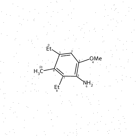 CCc1cc(OC)c(N)c(CC)c1C